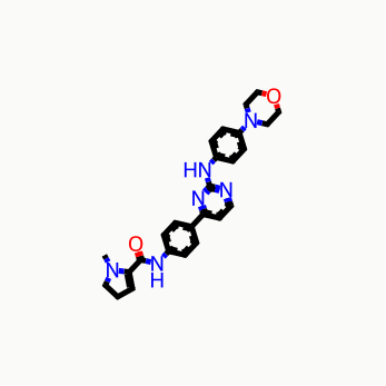 CN1CCC=C1C(=O)Nc1ccc(-c2ccnc(Nc3ccc(N4CCOCC4)cc3)n2)cc1